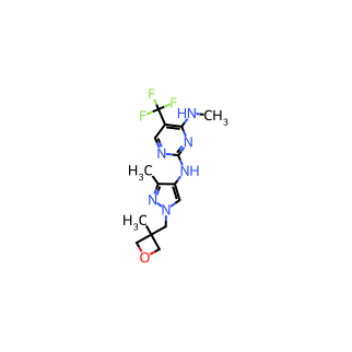 CNc1nc(Nc2cn(CC3(C)COC3)nc2C)ncc1C(F)(F)F